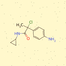 CC(Cl)(C(=O)NC1CC1)c1ccc(N)cc1